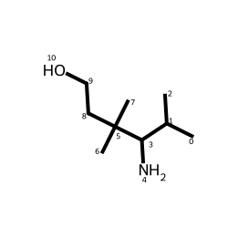 CC(C)C(N)C(C)(C)CCO